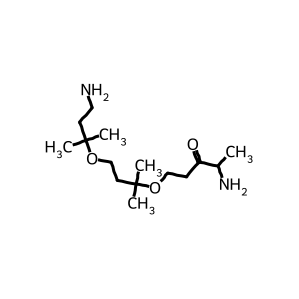 CC(N)C(=O)CCOC(C)(C)CCOC(C)(C)CCN